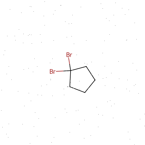 BrC1(Br)[CH]CCC1